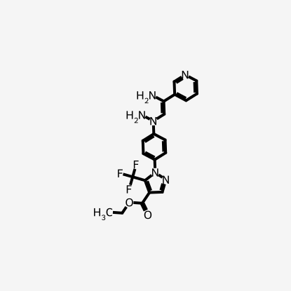 CCOC(=O)c1cnn(-c2ccc(N(N)/C=C(\N)c3cccnc3)cc2)c1C(F)(F)F